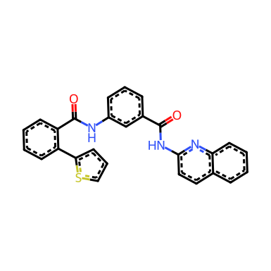 O=C(Nc1ccc2ccccc2n1)c1cccc(NC(=O)c2ccccc2-c2cccs2)c1